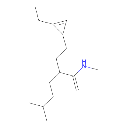 C=C(NC)C(CCC(C)C)CCC1C=C1CC